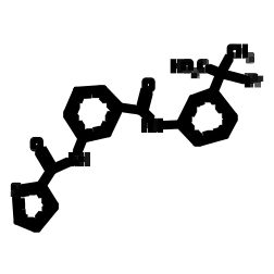 CC(C)C(C)(C(=O)O)c1cccc(NC(=O)c2cccc(NC(=O)c3cccs3)c2)c1